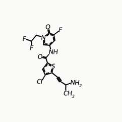 CC(N)C#Cc1sc(C(=O)Nc2cc(F)c(=O)n(CC(F)F)c2)cc1Cl